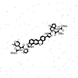 CC[C@H](C)C(NC(=O)OC)C(=O)N1[C@H](c2ncc(-c3ccc4c(c3)COc3cc5c(ccc6nc([C@@H]7CC[C@H](C)N7C(=O)[C@@H](NC(=O)OC)C7C[C@@H](C)O[C@H](C)C7)[nH]c65)cc3-4)[nH]2)C[C@@H]2CCC[C@@H]21